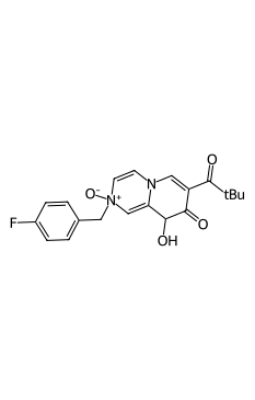 CC(C)(C)C(=O)C1=CN2C=C[N+]([O-])(Cc3ccc(F)cc3)C=C2C(O)C1=O